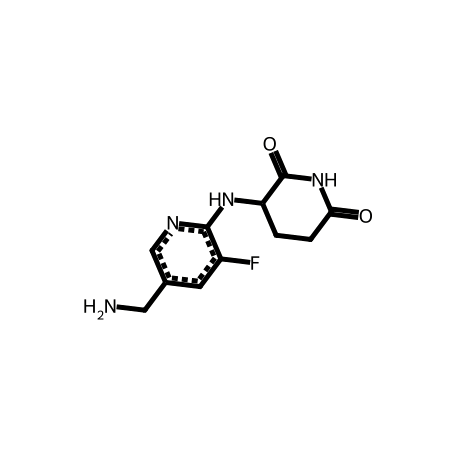 NCc1cnc(NC2CCC(=O)NC2=O)c(F)c1